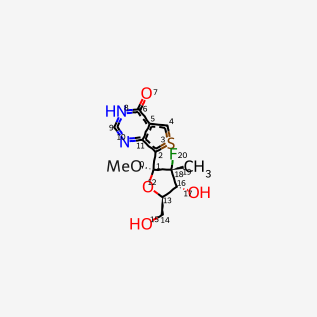 CO[C@@]1(c2scc3c(=O)[nH]cnc23)O[C@H](CO)[C@@H](O)[C@@]1(C)F